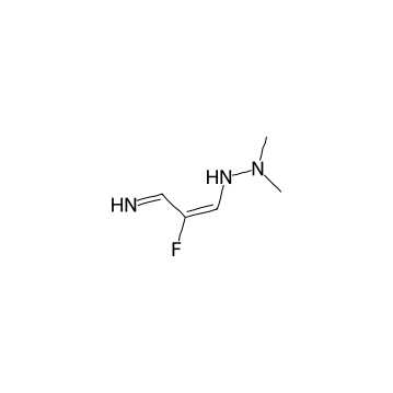 CN(C)N/C=C(/F)C=N